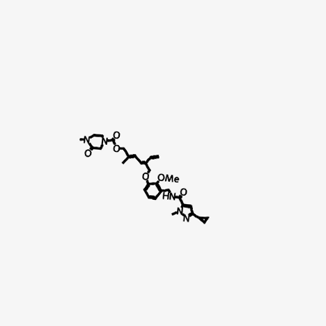 C=C/C(=C\C=C(/C)COC(=O)N1CCN(C)C(=O)C1)COc1cccc(CNC(=O)c2cc(C3CC3)nn2C)c1OC